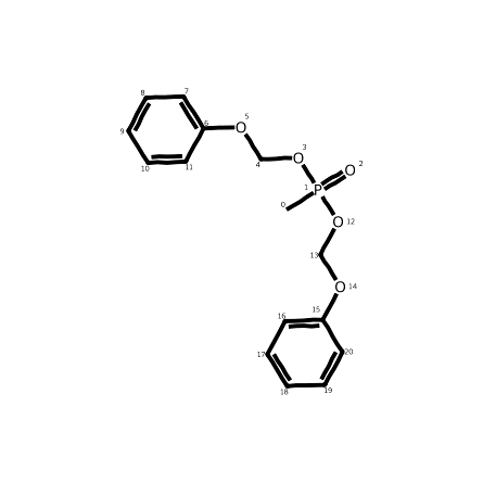 CP(=O)(OCOc1ccccc1)OCOc1ccccc1